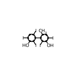 Cc1cc(I)c(O)c(I)c1-c1c(I)cc(I)c(O)c1I